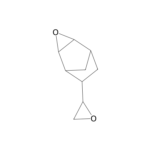 C1OC1C1CC2CC1C1OC21